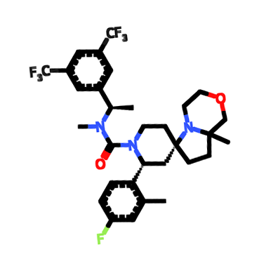 Cc1cc(F)ccc1[C@H]1C[C@@]2(CCN1C(=O)N(C)[C@H](C)c1cc(C(F)(F)F)cc(C(F)(F)F)c1)CCC1(C)COCCN12